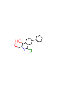 O=[C]c1nc(Cl)c2cc(-c3ccccc3)ccc2c1O